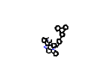 C/C=C\C(=C/C)C1(c2ccccc2)C(c2ccccc2)=NC2=CCC3C(=C21)N(C=Cc1ccc(-c2ccc4c5ccccc5c5ccccc5c4c2)cc1)c1ccccc13